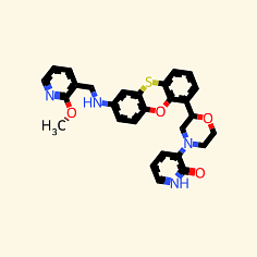 COc1ncccc1CNc1ccc2c(c1)Sc1cccc(C3CN(c4ccc[nH]c4=O)CCO3)c1O2